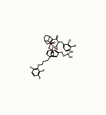 O=C(C1=C(Oc2ccc(CCCOc3c(F)ccc(F)c3F)cc2)CC2CCC1N2C(=O)Oc1cccc(CON(O)O)c1)N(Cc1cccc(Cl)c1Cl)C1CC1